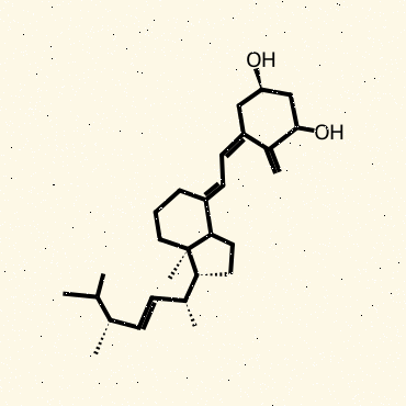 C=C1C(=CC=C2CCC[C@@]3(C)C2CC[C@@H]3[C@H](C)/C=C/[C@H](C)C(C)C)C[C@@H](O)CC1O